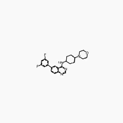 Fc1cc(F)cc(-c2ccc3ncnc(NC4CCC(N5CCOCC5)CC4)c3c2)c1